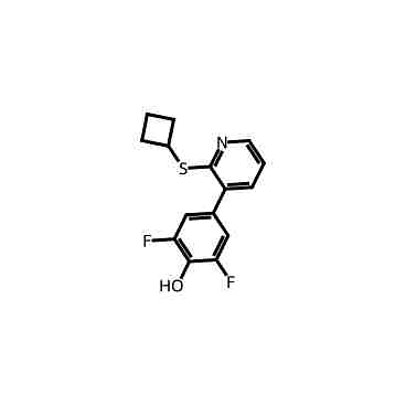 Oc1c(F)cc(-c2cccnc2SC2CCC2)cc1F